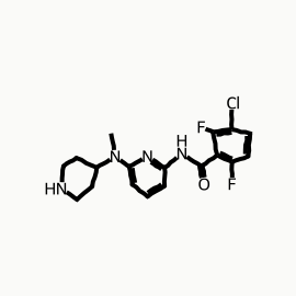 CN(c1cccc(NC(=O)c2c(F)ccc(Cl)c2F)n1)C1CCNCC1